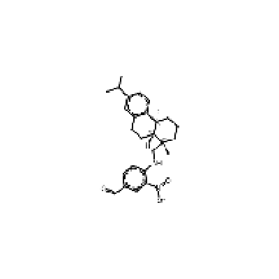 CC(C)c1ccc2c(c1)CC[C@H]1[C@@](C)(CNc3ccc(C=O)cc3[N+](=O)[O-])CCC[C@]21C